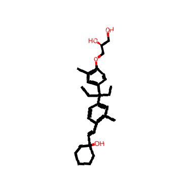 CCC(CC)(c1ccc(C=CC2(O)CCCCC2)c(C)c1)c1ccc(OC[C@@H](O)CO)c(C)c1